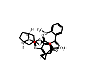 O=C(O)c1cc(F)c2nc(N3[C@@H]4CC[C@H]3CC(OC(=O)c3c(-c5ccccc5OC(F)(F)F)noc3C3CC3)C4)sc2c1